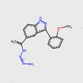 C=C(N/N=N\N)c1ccc2[nH]nc(-c3ccccc3OC)c2c1